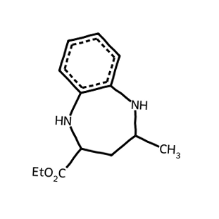 CCOC(=O)C1CC(C)Nc2ccccc2N1